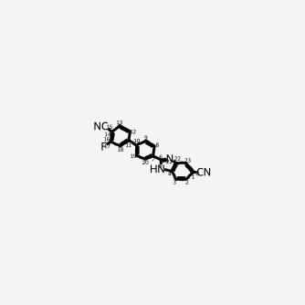 N#Cc1ccc2[nH]c(-c3ccc(-c4ccc(C#N)c(F)c4)cc3)nc2c1